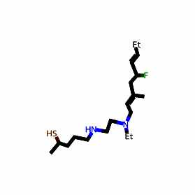 CCC=CC(F)C/C(C)=C/CN(CC)CCNCCCC(C)S